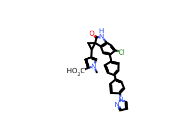 Cn1cc(C2CC23C(=O)Nc2cc(Cl)c(-c4ccc(-c5ccc(-n6cccn6)cc5)cc4)cc23)cc1C(=O)O